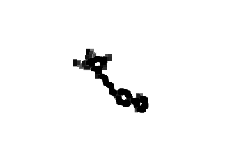 CC1(C)CC(=O)O/C(=N\CCCCN2CCN(c3ncccn3)CC2)N1